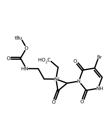 CC(C)(C)OC(=O)NCC[N+]1(CC(=O)O)C(=O)C1n1c(=O)[nH]cc(Br)c1=O